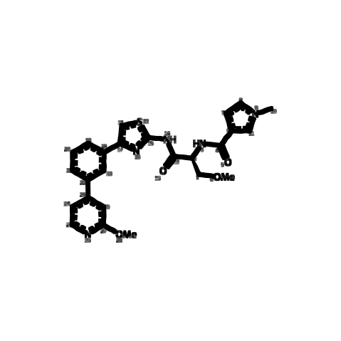 COC[C@H](NC(=O)c1ccn(C)c1)C(=O)Nc1nc(-c2cccc(-c3ccnc(OC)c3)c2)cs1